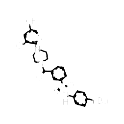 CCCCc1ccc(NS(=O)(=O)c2cccc(C(=O)N3CCN(c4ncc(C(F)(F)F)cc4Cl)CC3)c2)cc1